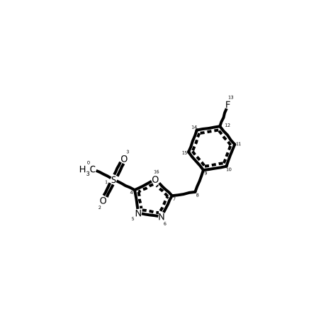 CS(=O)(=O)c1nnc(Cc2ccc(F)cc2)o1